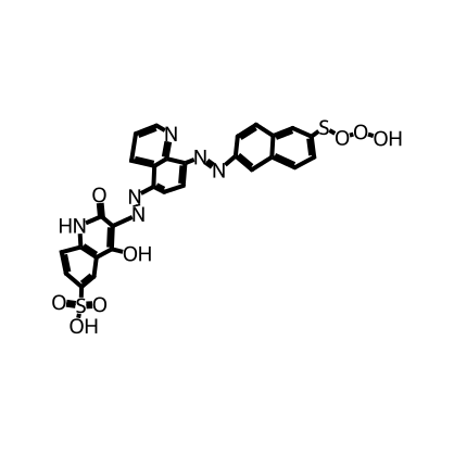 O=c1[nH]c2ccc(S(=O)(=O)O)cc2c(O)c1/N=N/c1ccc(/N=N/c2ccc3cc(SOOO)ccc3c2)c2ncccc12